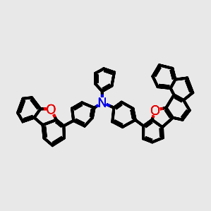 c1ccc(N(c2ccc(-c3cccc4c3oc3ccccc34)cc2)c2ccc(-c3cccc4c3oc3c4ccc4ccc5ccccc5c43)cc2)cc1